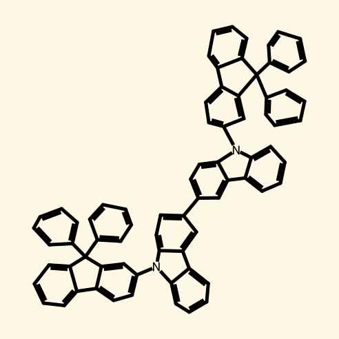 c1ccc(C2(c3ccccc3)c3ccccc3-c3ccc(-n4c5ccccc5c5cc(-c6ccc7c(c6)c6ccccc6n7-c6ccc7c(c6)C(c6ccccc6)(c6ccccc6)c6ccccc6-7)ccc54)cc32)cc1